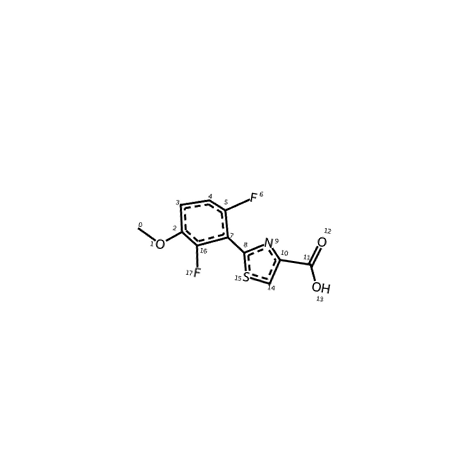 COc1ccc(F)c(-c2nc(C(=O)O)cs2)c1F